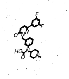 CN1CCC(N(C(=O)O)c2cccc(Cn3nc(-c4cc(F)cc(F)c4)ccc3=O)c2)CC1